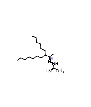 CCCCCCCC(CCCCCC)/C(C)=N/NC(=N)N